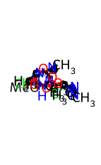 COC[C@@H]1NC(=O)[C@H](C)N(Cc2ccc(Cl)cc2Oc2ccc(-c3cnc(CN(C)C)n3C)cc2)C(=O)C[C@@H](Cc2cccc(C)n2)C(=O)N2CCC[C@@](Cc3ccc(Cl)cc3)(C2)N(C)C1=O